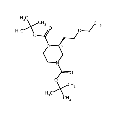 CCOCC[C@H]1CN(C(=O)OC(C)(C)C)CCN1C(=O)OC(C)(C)C